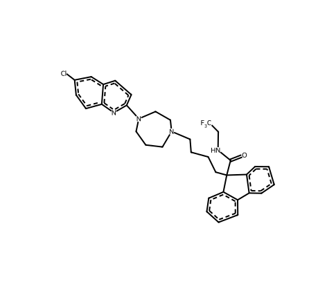 O=C(NCC(F)(F)F)C1(CCCCN2CCCN(c3ccc4cc(Cl)ccc4n3)CC2)c2ccccc2-c2ccccc21